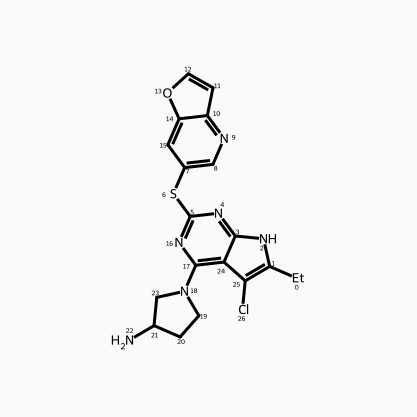 CCc1[nH]c2nc(Sc3cnc4ccoc4c3)nc(N3CCC(N)C3)c2c1Cl